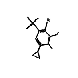 Cc1c(C2CC2)cc(C(C)(C)C)c(Br)c1F